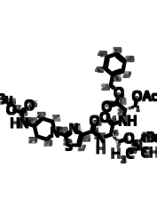 CC(=O)OC[C@H](NC(=O)[C@H](CO[Si](C)(C)C(C)(C)C)NC(=O)c1csc(N2CCC(NC(=O)OC(C)(C)C)CC2)n1)C(=O)OCc1ccccc1